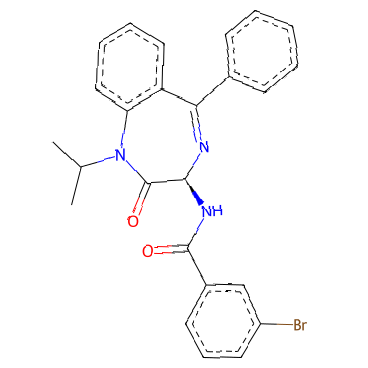 CC(C)N1C(=O)[C@H](NC(=O)c2cccc(Br)c2)N=C(c2ccccc2)c2ccccc21